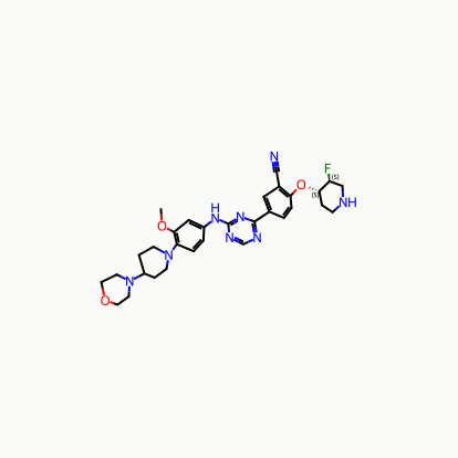 COc1cc(Nc2ncnc(-c3ccc(O[C@H]4CCNC[C@@H]4F)c(C#N)c3)n2)ccc1N1CCC(N2CCOCC2)CC1